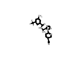 Cc1cc(C(=O)NC(C)c2ncnn2-c2ccc(C#N)cn2)cc(C(F)(F)F)c1